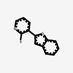 [Ir][c]1ncccc1-c1cc2ccccc2s1